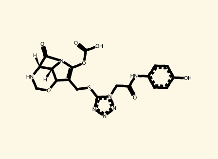 O=C(Cn1nnnc1SCC1=C(OC(=O)O)N2C(=O)[C@H]3NCOC1[C@H]32)Nc1ccc(O)cc1